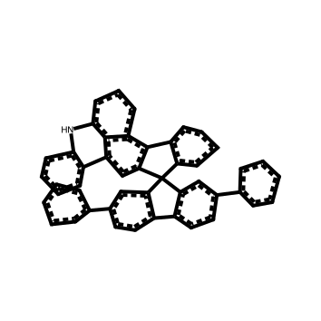 c1ccc(-c2ccc3c(c2)C2(c4cc(-c5ccccc5)ccc4-3)c3ccccc3-c3c2cc2c4c(cccc34)Nc3ccccc3-2)cc1